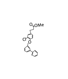 COC(=O)CCc1ccc(OCc2cccc(-c3ccccc3)c2)c(Cl)c1